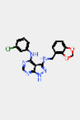 Clc1cccc(Nc2ncnc3[nH]nc(NCc4cccc5c4OCO5)c23)c1